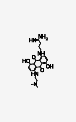 CN(C)CCNc1ccc(O)c2c1C(=O)c1c(O)ccc(NCCCC(=N)N)c1C2=O